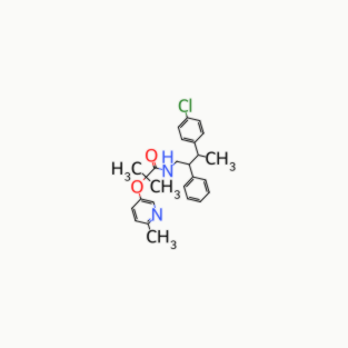 Cc1ccc(OC(C)(C)C(=O)NCC(c2ccccc2)C(C)c2ccc(Cl)cc2)cn1